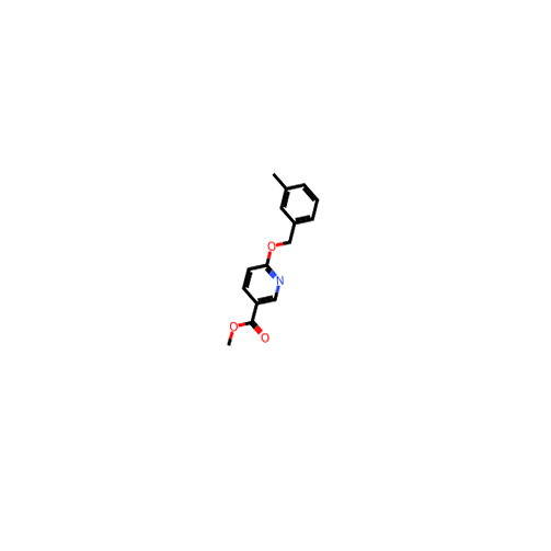 COC(=O)c1ccc(OCc2cccc(C)c2)nc1